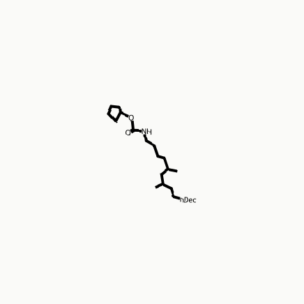 CCCCCCCCCCCCC(C)CC(C)CCCCNC(=O)OC1CCCC1